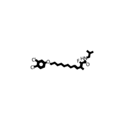 CC(C=CCCCCCCCOc1ccc(Cl)c(Cl)c1)=C(F)C(=O)NCC(C)C